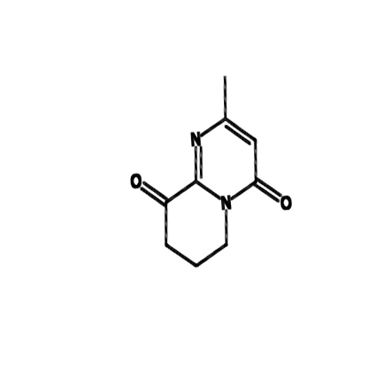 Cc1cc(=O)n2c(n1)C(=O)CCC2